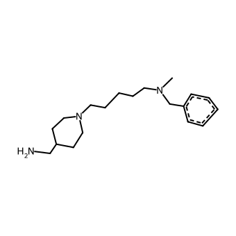 CN(CCCCCN1CCC(CN)CC1)Cc1ccccc1